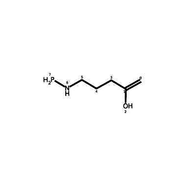 C=C(O)CCCNP